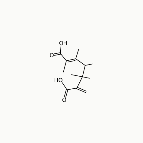 C=C(C(=O)O)C(C)(C)C(C)C(C)=C(C)C(=O)O